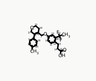 Cc1ccc(C2=C(COc3ccc(CCC(=O)O)c(C(C)(F)F)c3)CCOC2)cc1